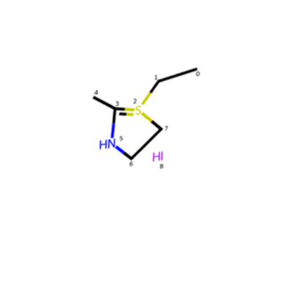 CCS1=C(C)NCC1.I